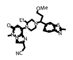 CCC1CN(C(CCOC)c2ccc3nc(C)sc3c2)CCN1c1cc(=O)n(C)n2cc(CC#N)nc12